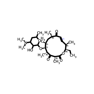 CC[C@H]1OC(=O)[C@H](C)C(=O)[C@H](C)[C@@H](OC2OC(C)CC(N(C)C)C2O)[C@@H](C)C[C@@H](C)C(=O)/C=C/[C@H]1C